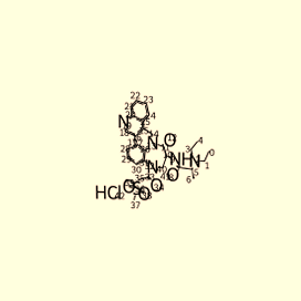 CCN(CC)[C@@H](C)C(=O)N[C@@H]1C(=O)N(Cc2c(C)cnc3ccccc23)c2ccccc2N(C(=O)CS(C)(=O)=O)[C@H]1C.Cl